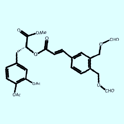 COC(=O)[C@@H](Cc1ccc(OC(C)=O)c(OC(C)=O)c1)OC(=O)/C=C/c1ccc(COC=O)c(COC=O)c1